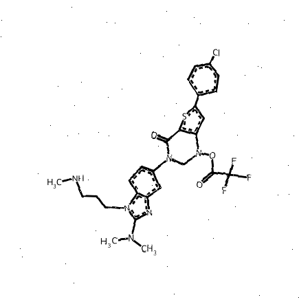 CNCCCn1c(N(C)C)nc2cc(N3CN(OC(=O)C(F)(F)F)c4cc(-c5ccc(Cl)cc5)sc4C3=O)ccc21